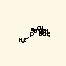 C=C(C)C(=O)OC[C@@H](C)COC(=O)C1CCC(CCCCC)CC1